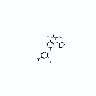 CCC1C(=O)N(C)c2cnc(Nc3ccc(C(=O)O)cc3OC)nc2N1C1CCCC1